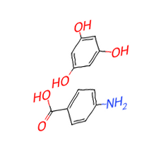 Nc1ccc(C(=O)O)cc1.Oc1cc(O)cc(O)c1